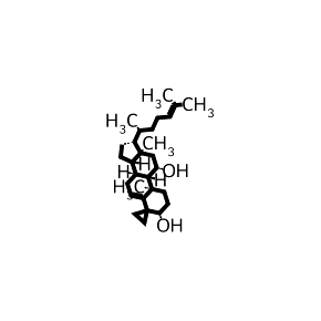 CC(C)=CCC[C@@H](C)[C@H]1CC[C@H]2[C@@H]3CC=C4C5(CC5)[C@@H](O)CC[C@]4(C)[C@H]3[C@@H](O)C[C@]12C